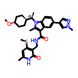 CO[C@H]1CC[C@@H]([C@@H](C)n2c(C)c(C(=O)NCc3c(SC)cc(C)[nH]c3=O)c3cc(-c4cnn(C)c4)ccc32)CC1